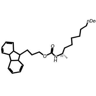 CCCCCCCCCCCCCCCC[C@H](C)NC(=O)OCCCC1C2C=CC=CC2C2C=CC=CC21